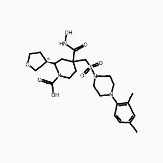 Cc1ccc(N2CCN(S(=O)(=O)CC3(C(=O)NO)CCN(C(=O)O)C([C@@H]4CCOC4)C3)CC2)c(C)c1